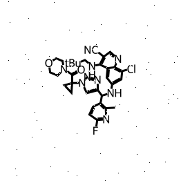 Cc1nc(F)ccc1C(Nc1cc(Cl)c2ncc(C#N)c(NCC(C)(C)C)c2c1)c1cn(C2(C(=O)N3CCOCC3)CC2)nn1